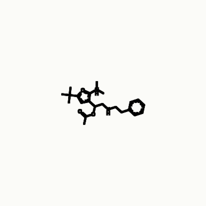 CC(=O)OC(CNCCc1ccccc1)c1cc(C(C)(C)C)oc1[SiH](C)C